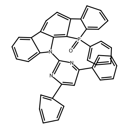 O=P1(c2ccccc2)c2ccccc2-c2ccc3c4ccccc4n(-c4nc(-c5ccccc5)cc(-c5ccccc5)n4)c3c21